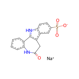 O=C1Cc2c([nH]c3ccc(S(=O)(=O)[O-])cc23)-c2ccccc2N1.[Na+]